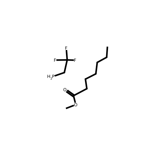 CCCCCCC(=O)OC.FC(F)(F)CP